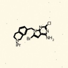 CC(C)N1CCc2ccc(Cn3c(Br)cc4c(N)nc(Cl)nc43)cc2C1